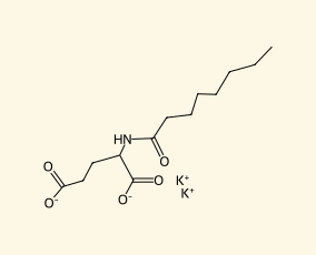 CCCCCCCC(=O)NC(CCC(=O)[O-])C(=O)[O-].[K+].[K+]